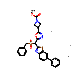 CC(C)(C)OC(=O)N1CC(c2nnc(C(c3nc4ccc(-c5ccccc5)cc4s3)S(=O)(=O)Cc3ccccc3)o2)C1